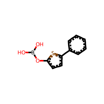 OB(O)Oc1ccc(-c2ccccc2)s1